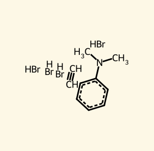 Br.Br.Br.Br.C#C.CN(C)c1ccccc1